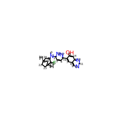 CN(c1ccc(-c2cc3cncnc3cc2O)nn1)[C@@H]1C[C@H]2CC[C@H](C2)[C@@H]1F